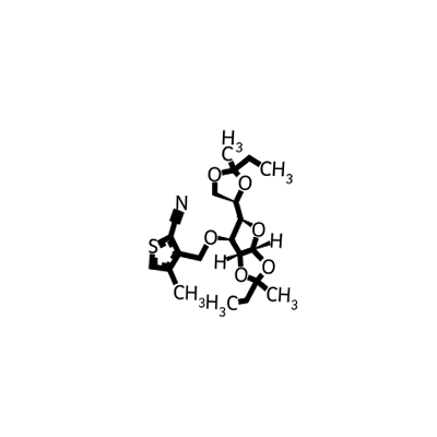 CCC1(C)O[C@H]2O[C@H]([C@H]3COC(C)(CC)O3)[C@H](OCc3c(C)csc3C#N)[C@H]2O1